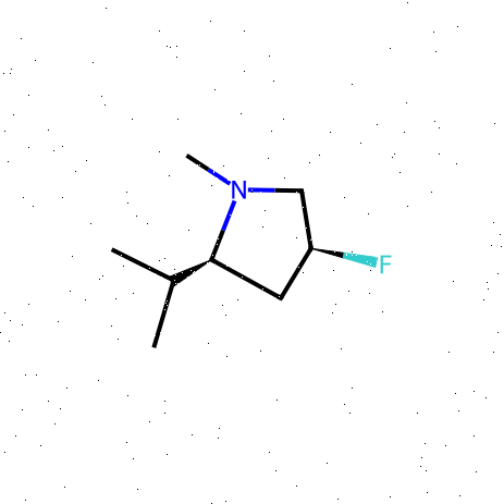 CC(C)[C@@H]1C[C@H](F)CN1C